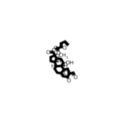 C[C@]12CC(C=O)C(=O)C=C1CC[C@@H]1[C@@H]2[C@@H](O)C[C@@]2(C)[C@H]1CC[C@]2(OC(=O)c1ccco1)C(=O)O